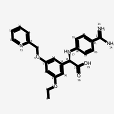 CCOc1cc(OCc2ccccn2)cc([C@@H](Nc2ccc(C(=N)N)cc2)C(=O)O)c1